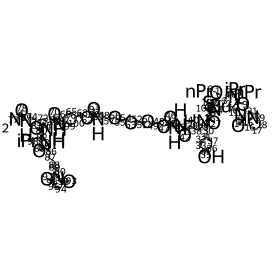 CCCO[C@H](C[C@H](C(C)C)N(CCC)C(=O)C(/C=N/C(=O)[C@H]1CCCCN1C)[C@@H](C)CC)c1nc(C(=O)NC(Cc2ccc(O)cc2)C[C@H](C)C(=O)NNC(=O)OCCOCCOCCOCCNC(=O)OCc2ccc(NC(=O)[C@H](CCCNC(N)=O)NC(=O)[C@@H](NC(=O)CCCCCN3C(=O)C=CC3=O)C(C)C)cc2)cs1